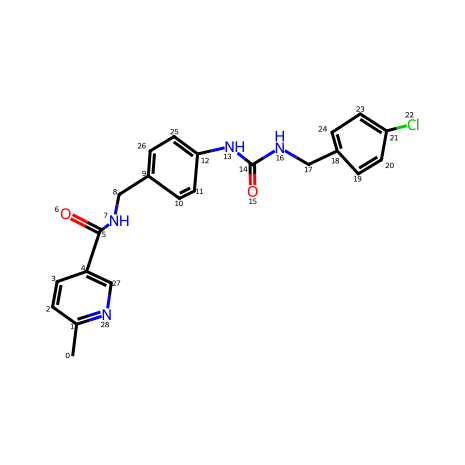 Cc1ccc(C(=O)NCc2ccc(NC(=O)NCc3ccc(Cl)cc3)cc2)cn1